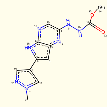 Cn1cc(-c2cc3nc(NNC(=O)OC(C)(C)C)cnc3[nH]2)cn1